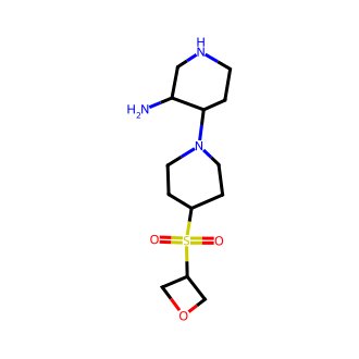 NC1CNCCC1N1CCC(S(=O)(=O)C2COC2)CC1